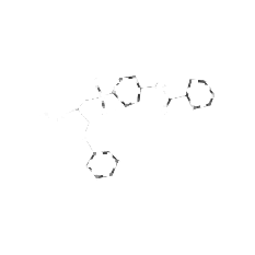 O=C(Nc1ccc(S(=O)(=O)CC(CSc2ccccc2)C(=O)O)cc1)c1ccccc1